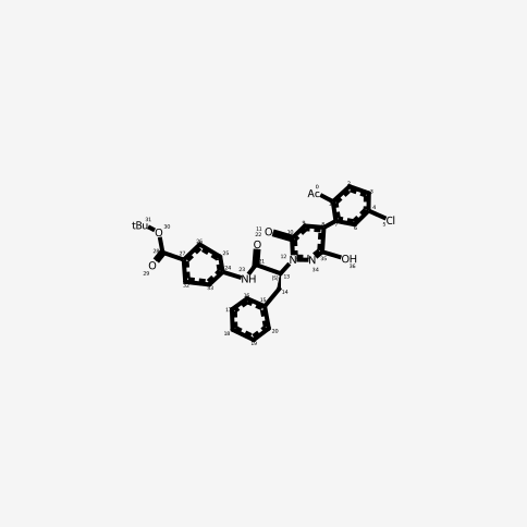 CC(=O)c1ccc(Cl)cc1-c1cc(=O)n([C@@H](Cc2ccccc2)C(=O)Nc2ccc(C(=O)OC(C)(C)C)cc2)nc1O